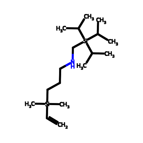 C=C[Si](C)(C)CCCNC[Si](C(C)C)(C(C)C)C(C)C